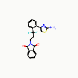 Nc1nc(-c2ccccc2C(F)(F)CCN2C(=O)c3ccccc3C2=O)cs1